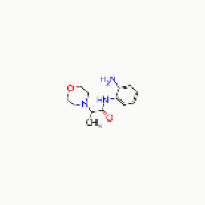 CC(C(=O)Nc1ccccc1N)N1CCOCC1